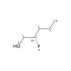 CCC[C@H](F)CO